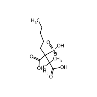 CCCCCC(C(=O)O)(C(C)(C)C(=O)O)S(=O)(=O)O